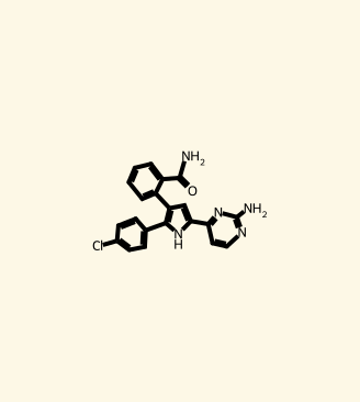 NC(=O)c1ccccc1-c1cc(-c2ccnc(N)n2)[nH]c1-c1ccc(Cl)cc1